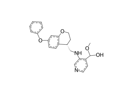 COC(O)c1ccncc1NC[C@H]1CCOc2cc(Oc3ccccc3)ccc21